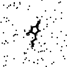 C=CC[C]1CC(=O)C=C1C